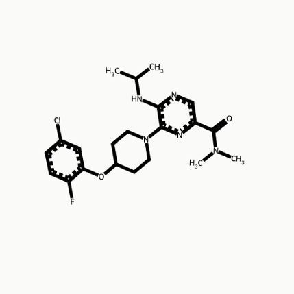 CC(C)Nc1ncc(C(=O)N(C)C)nc1N1CCC(Oc2cc(Cl)ccc2F)CC1